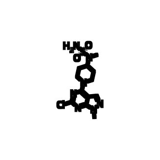 CN(C1CCN(c2nc(Cl)nc3c2cnn3C)CC1)S(N)(=O)=O